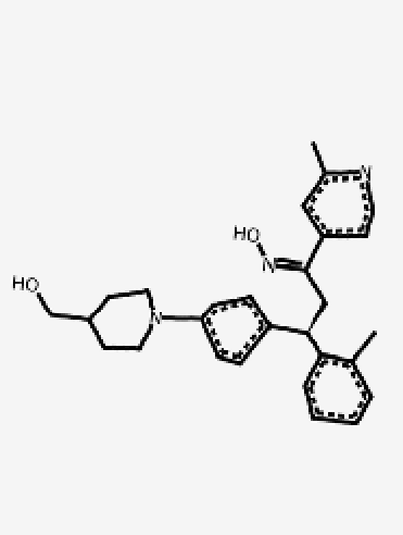 Cc1cc(C(C[C@H](c2ccc(N3CCC(CO)CC3)cc2)c2ccccc2C)=NO)ccn1